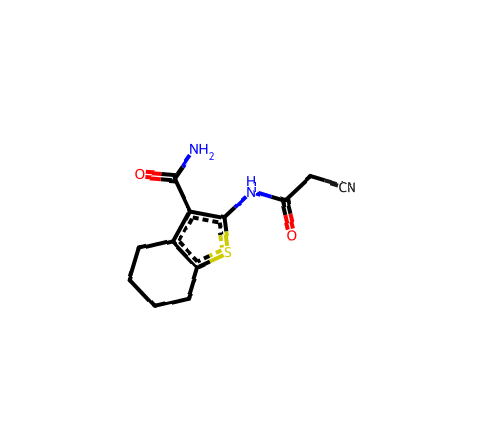 N#CCC(=O)Nc1sc2c(c1C(N)=O)CCCC2